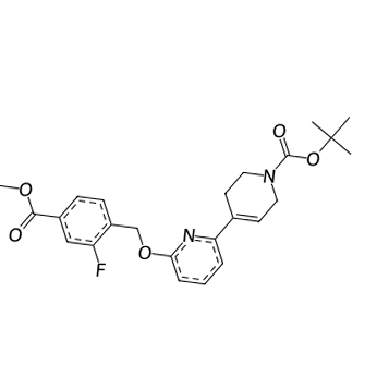 COC(=O)c1ccc(COc2cccc(C3=CCN(C(=O)OC(C)(C)C)CC3)n2)c(F)c1